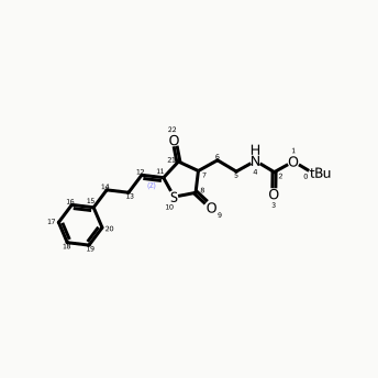 CC(C)(C)OC(=O)NCCC1C(=O)S/C(=C\CCc2ccccc2)C1=O